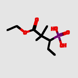 CCOC(=O)C(C)(C)C(CC)P(=O)(O)O